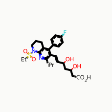 CCS(=O)(=O)N1CCCc2c1nc(C(C)C)c(C=C[C@@H](O)C[C@@H](O)CC(=O)O)c2-c1ccc(F)cc1